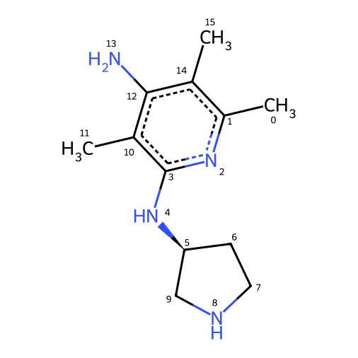 Cc1nc(N[C@H]2CCNC2)c(C)c(N)c1C